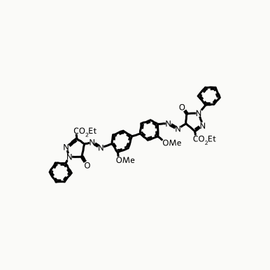 CCOC(=O)C1=NN(c2ccccc2)C(=O)C1N=Nc1ccc(-c2ccc(N=NC3C(=O)N(c4ccccc4)N=C3C(=O)OCC)c(OC)c2)cc1OC